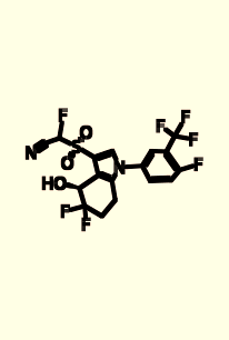 N#CC(F)S(=O)(=O)c1cn(-c2ccc(F)c(C(F)(F)F)c2)c2c1[C@H](O)C(F)(F)CC2